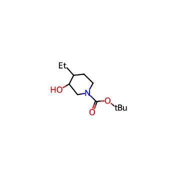 CCC1CCN(C(=O)OC(C)(C)C)CC1O